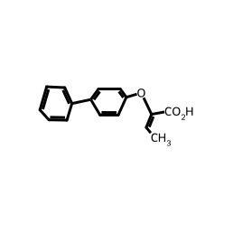 CC=C(Oc1ccc(-c2ccccc2)cc1)C(=O)O